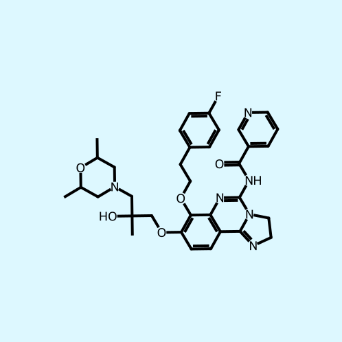 CC1CN(CC(C)(O)COc2ccc3c(c2OCCc2ccc(F)cc2)N=C(NC(=O)c2cccnc2)N2CCN=C32)CC(C)O1